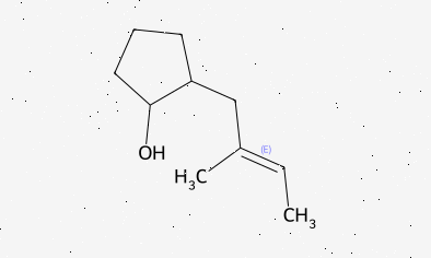 C/C=C(\C)CC1CCCC1O